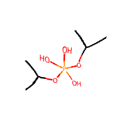 CC(C)OP(O)(O)(O)OC(C)C